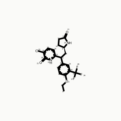 CCOc1ccc(C(C[C@H]2CCC(=O)N2)c2ccc(Cl)c(=O)[nH]2)cc1C(F)(F)F